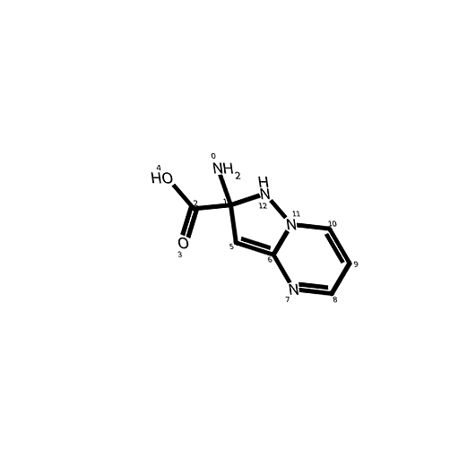 NC1(C(=O)O)C=C2N=CC=CN2N1